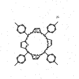 Cc1ccc(-c2c3nc(c(-c4ccc(C)cc4)c4ccc([nH]4)c(-c4ccc(C)cc4)c4nc(c(-c5ccc(C)cc5)c5ccc2[nH]5)C=C4)C=C3)cc1.[Zn]